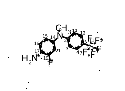 CN(c1ccc(S(F)(F)(F)(F)F)cc1)c1ccc(N)c(F)c1